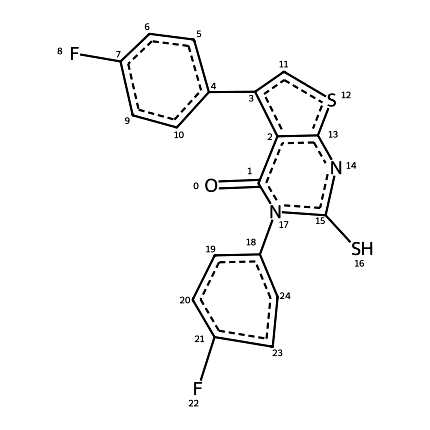 O=c1c2c(-c3ccc(F)cc3)csc2nc(S)n1-c1ccc(F)cc1